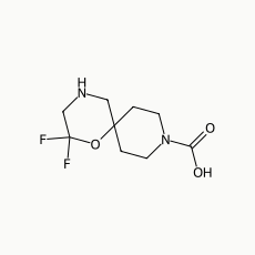 O=C(O)N1CCC2(CC1)CNCC(F)(F)O2